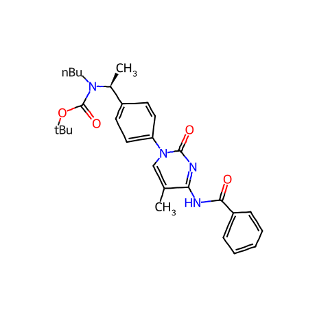 CCCCN(C(=O)OC(C)(C)C)[C@@H](C)c1ccc(-n2cc(C)c(NC(=O)c3ccccc3)nc2=O)cc1